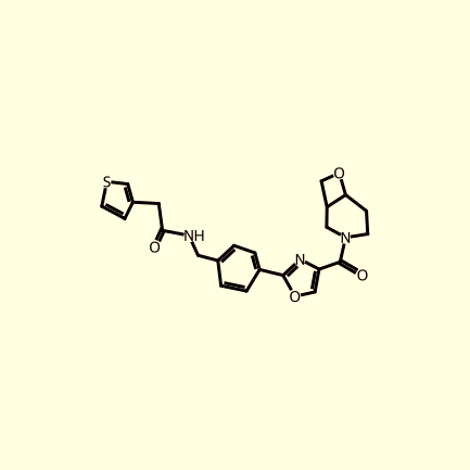 O=C(Cc1ccsc1)NCc1ccc(-c2nc(C(=O)N3CCC4OCC4C3)co2)cc1